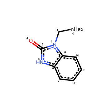 CCCCCCCn1c(=O)[nH]c2ccccc21